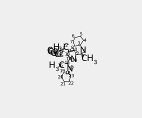 CC(=NC1CCCCC1)c1cc(C)cc(C(C)=NC2CCCCC2)n1.[Cl-].[Cl-].[Cl-].[Co+3]